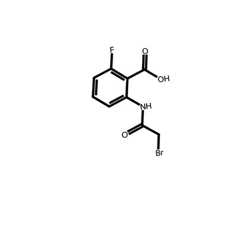 O=C(CBr)Nc1cccc(F)c1C(=O)O